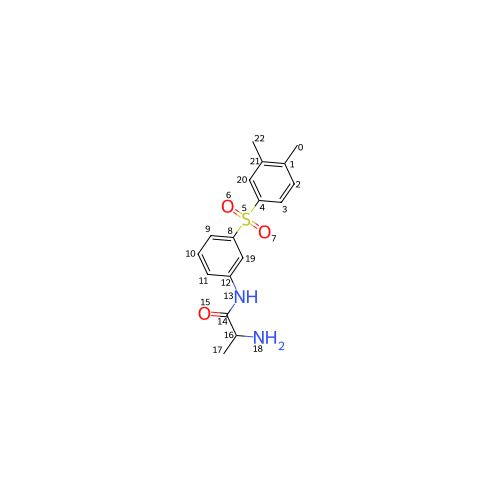 Cc1ccc(S(=O)(=O)c2cccc(NC(=O)C(C)N)c2)cc1C